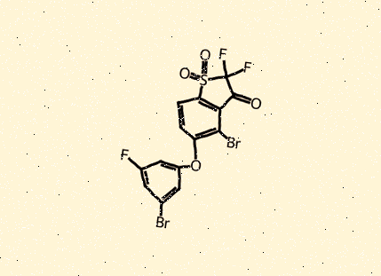 O=C1c2c(ccc(Oc3cc(F)cc(Br)c3)c2Br)S(=O)(=O)C1(F)F